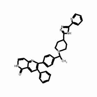 CC(c1ccc(-c2nc3cc[nH]c(=O)c3cc2-c2ccccc2)cc1)N1CCC(c2nnc(-c3ccccn3)[nH]2)CC1